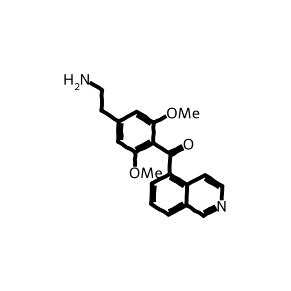 COc1cc(CCN)cc(OC)c1C(=O)c1cccc2cnccc12